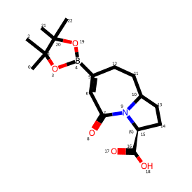 CC1(C)OB(C2=CC(=O)N3C(CC2)CC[C@H]3C(=O)O)OC1(C)C